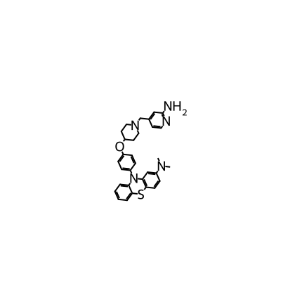 CN(C)c1ccc2c(c1)N(c1ccc(OC3CCN(Cc4ccnc(N)c4)CC3)cc1)c1ccccc1S2